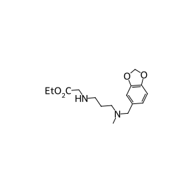 CCOC(=O)CNCCCN(C)Cc1ccc2c(c1)OCO2